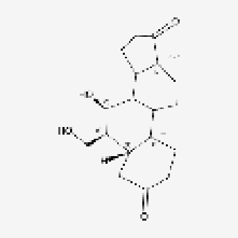 C[C@]12CCC3C(C1CCC2=O)[C@H](O)[C@H](CO)[C@H]1CC(=O)CC[C@]31C